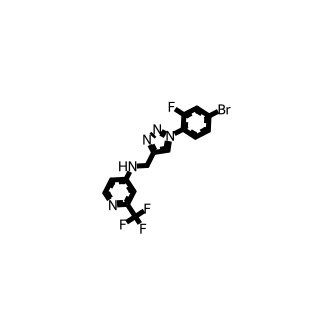 Fc1cc(Br)ccc1-n1cc(CNc2ccnc(C(F)(F)F)c2)nn1